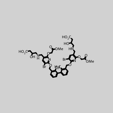 COC(=O)COc1nc(OCc2cccc(-c3cccc(COc4nc(OCC(=O)OC)c(CNCC(O)CC(=O)O)cc4Br)c3C)c2C)c(Br)cc1CNCC(O)CC(=O)O